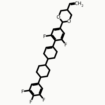 C=CC1COC(c2cc(F)c(C3=CCC(C4CCC(c5cc(F)c(F)c(F)c5)CC4)CC3)c(F)c2)OC1